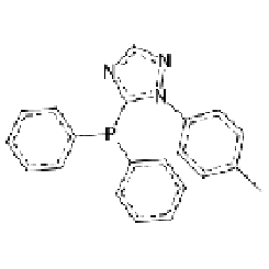 Cc1ccc(-n2ncnc2P(c2ccccc2)c2ccccc2)cc1